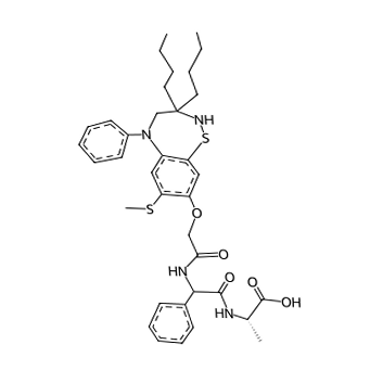 CCCCC1(CCCC)CN(c2ccccc2)c2cc(SC)c(OCC(=O)NC(C(=O)N[C@@H](C)C(=O)O)c3ccccc3)cc2SN1